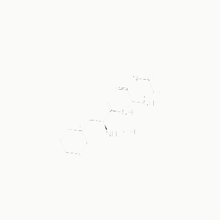 Cl.N[C@@H](CC1CCCCC1)C(=O)NC1NCC(=O)NC1=O